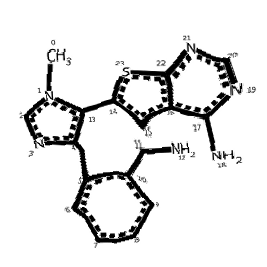 Cn1cnc(-c2ccccc2CN)c1-c1cc2c(N)ncnc2s1